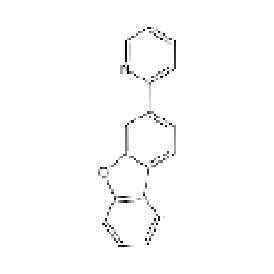 [c]1cccc2oc3cc(-c4ccccn4)ccc3c12